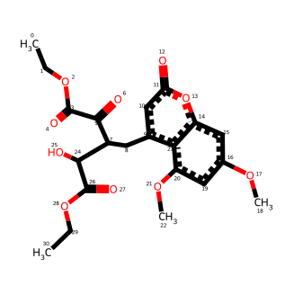 CCOC(=O)C(=O)C(Cc1cc(=O)oc2cc(OC)cc(OC)c12)C(O)C(=O)OCC